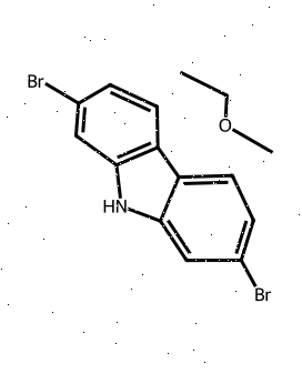 Brc1ccc2c(c1)[nH]c1cc(Br)ccc12.CCOC